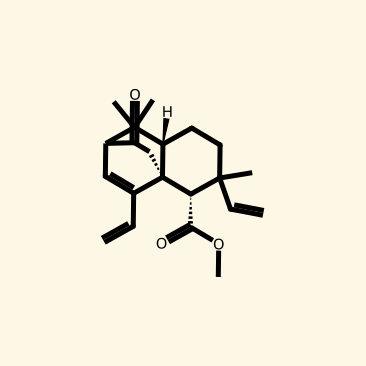 C=CC1=CC2C(=O)C[C@]13[C@@H](C(=O)OC)C(C)(C=C)CC[C@H]3C2(C)C